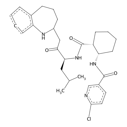 CC(C)C[C@H](NC(=O)[C@@H]1CCCC[C@@H]1NC(=O)c1ccc(Cl)nc1)C(=O)CC1CCCc2ccccc2N1